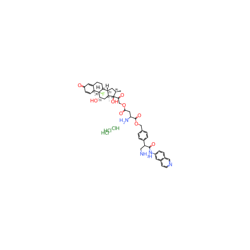 C[C@@H]1C[C@H]2[C@@H]3CCC4=CC(=O)C=C[C@]4(C)[C@@]3(F)[C@@H](O)C[C@]2(C)[C@@]1(O)C(=O)COC(=O)CC(N)C(=O)OCc1ccc(C(CN)C(=O)Nc2ccc3cnccc3c2)cc1.Cl.Cl.Cl